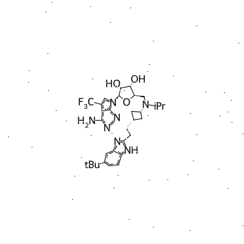 CC(C)N(C[C@H]1O[C@@H](n2cc(C(F)(F)F)c3c(N)ncnc32)[C@H](O)[C@@H]1O)[C@H]1C[C@@H](CCc2nc3cc(C(C)(C)C)ccc3[nH]2)C1